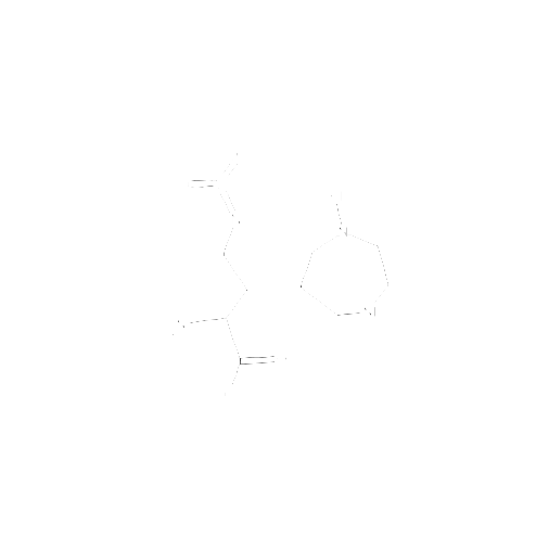 CN1CCCNCC1.NC(CCN=S(=O)=O)C(=O)O